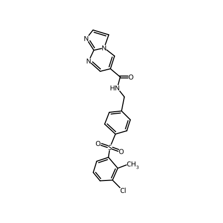 Cc1c(Cl)cccc1S(=O)(=O)c1ccc(CNC(=O)c2cnc3nccn3c2)cc1